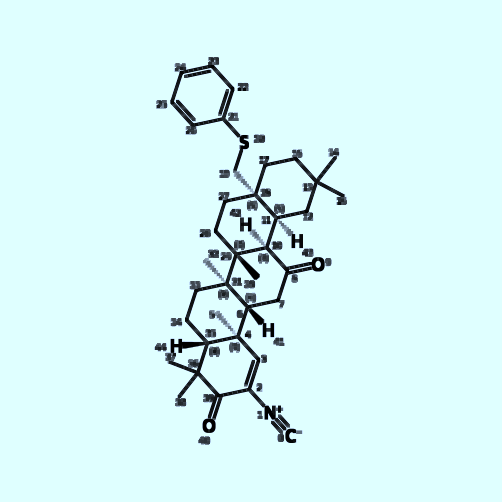 [C-]#[N+]C1=C[C@]2(C)[C@H]3CC(=O)[C@@H]4[C@@H]5CC(C)(C)CC[C@]5(CSc5ccccc5)CC[C@@]4(C)[C@]3(C)CC[C@H]2C(C)(C)C1=O